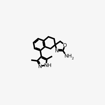 Cc1n[nH]c(C)c1-c1cccc2c1CC1(CC2)COC(N)=N1